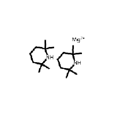 CC1(C)CCCC(C)(C)N1.CC1(C)CCCC(C)(C)N1.[Mg+2]